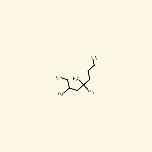 CCCCC(C)(C)CC(C)CC